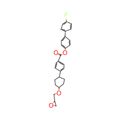 O=C(Oc1ccc(-c2ccc(F)cc2)cc1)c1ccc(C2CCC(OCC3CO3)CC2)cc1